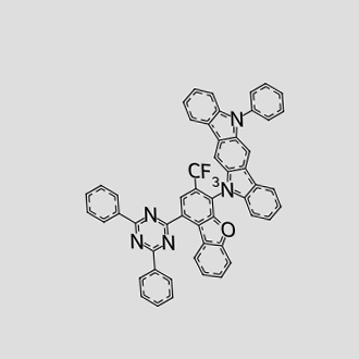 FC(F)(F)c1cc(-c2nc(-c3ccccc3)nc(-c3ccccc3)n2)c2c(oc3ccccc32)c1-n1c2ccccc2c2cc3c(cc21)c1ccccc1n3-c1ccccc1